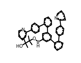 CC(C)(O)C(C)(C)OBc1cc(-c2ccccc2-c2ccc(-c3ccccn3)cc2)cc(-c2ccccc2-c2ccc(-c3ccccn3)cc2)c1